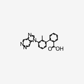 Cc1c(-c2ccccc2C(=O)O)cccc1-n1cnc2cnncc21